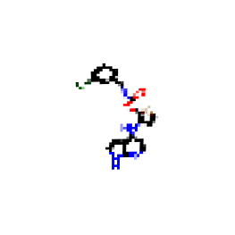 O=C(NCc1cccc(Cl)c1)Oc1sccc1Nc1ccnc2[nH]ccc12